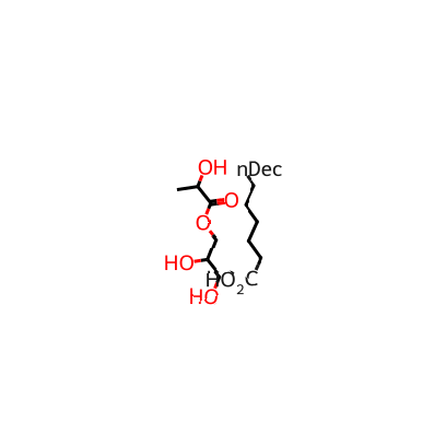 CC(O)C(=O)OCC(O)CO.CCCCCCCCCCCCCCCC(=O)O